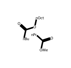 CCCC(=O)OC.CCCCCCCCOC(=O)CCCC